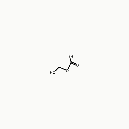 O=C(S)OCO